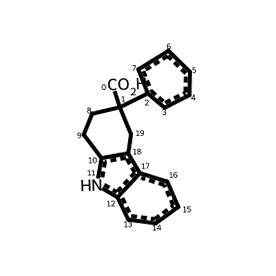 O=C(O)C1(c2ccccc2)CCc2[nH]c3ccccc3c2C1